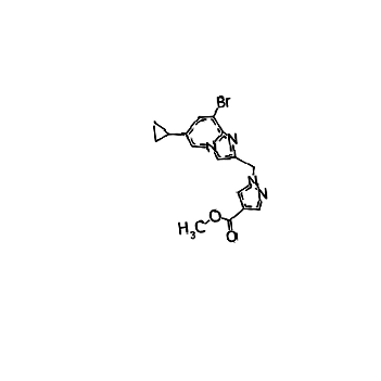 COC(=O)c1cnn(Cc2cn3cc(C4CC4)cc(Br)c3n2)c1